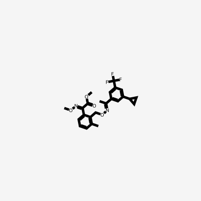 CO/N=C(/C(=O)OC)c1cccc(C)c1CO/N=C(\C)c1cc(C2CC2)cc(C(F)(F)F)c1